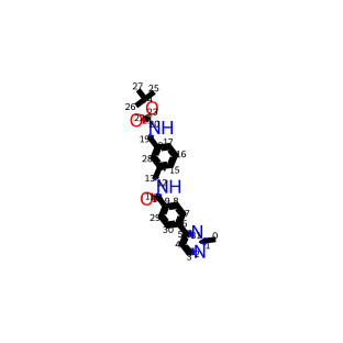 Cc1nccc(-c2ccc(C(=O)NCc3cccc(CNC(=O)OC(C)(C)C)c3)cc2)n1